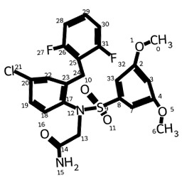 COc1cc(OC)cc(S(=O)(=O)N(CC(N)=O)c2ccc(Cl)cc2Cc2c(F)cccc2F)c1